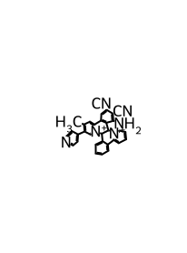 Cc1cc2[n+](cc1-c1ccncc1)C1c3ccccc3-c3cccc[n+]3C1c1c-2cc(C#N)c(C#N)c1N